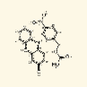 O=C(O)OCc1ccc([N+](=O)[O-])cc1.O=c1ccc2nc3ccccc3oc-2c1